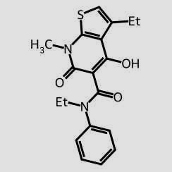 CCc1csc2c1c(O)c(C(=O)N(CC)c1ccccc1)c(=O)n2C